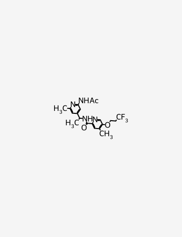 CC(=O)Nc1cc(C(C)NC(=O)c2cc(C)c(OCCC(F)(F)F)cn2)cc(C)n1